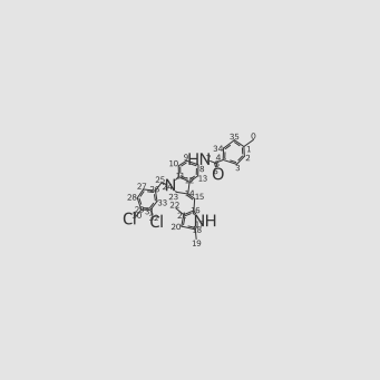 Cc1ccc(C(=O)Nc2ccc3c(c2)/C(=C/c2[nH]c(C)cc2C)CN3Cc2ccc(Cl)c(Cl)c2)cc1